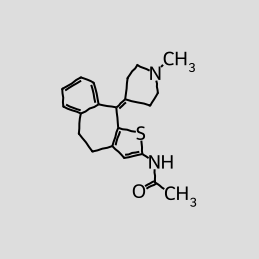 CC(=O)Nc1cc2c(s1)C(=C1CCN(C)CC1)c1ccccc1CC2